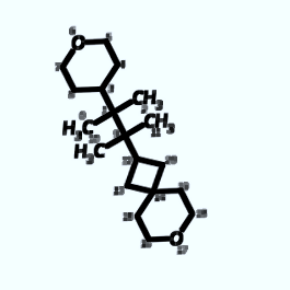 CC(C)(C1CCOCC1)C(C)(C)C1CC2(CCOCC2)C1